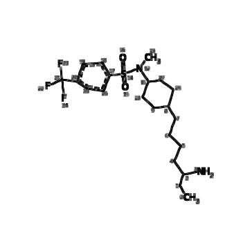 CCC(N)CCCCC1CCC(N(C)S(=O)(=O)c2ccc(C(F)(F)F)cc2)CC1